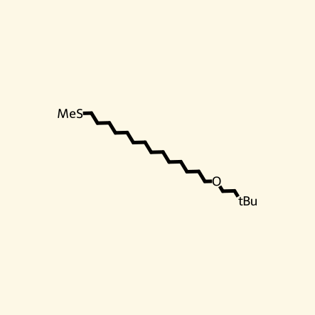 CSCCCCCCCCCCCCCCOCCC(C)(C)C